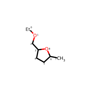 CCOCC1CCC(C)O1